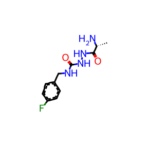 C[C@@H](N)C(=O)NNC(=O)NCc1ccc(F)cc1